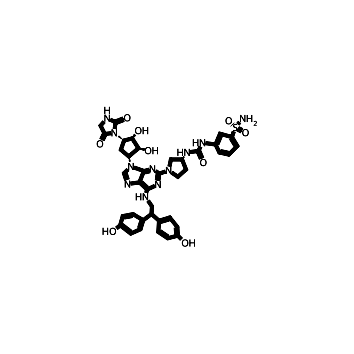 NS(=O)(=O)c1cccc(NC(=O)N[C@@H]2CCN(c3nc(NCC(c4ccc(O)cc4)c4ccc(O)cc4)c4ncn([C@@H]5C[C@H](N6C(=O)CNC6=O)[C@@H](O)[C@H]5O)c4n3)C2)c1